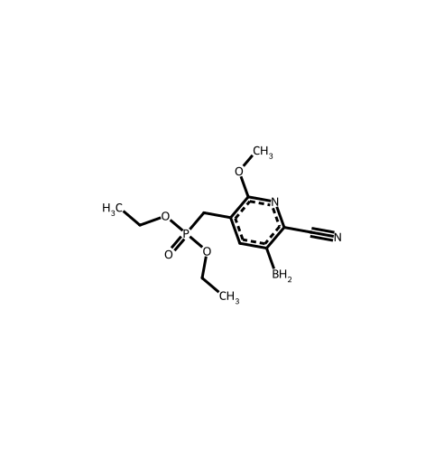 Bc1cc(CP(=O)(OCC)OCC)c(OC)nc1C#N